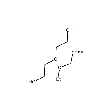 CCCCCCCOCC.OCCOCCO